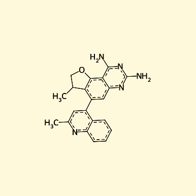 Cc1cc(-c2cc3nc(N)nc(N)c3c3c2C(C)CO3)c2ccccc2n1